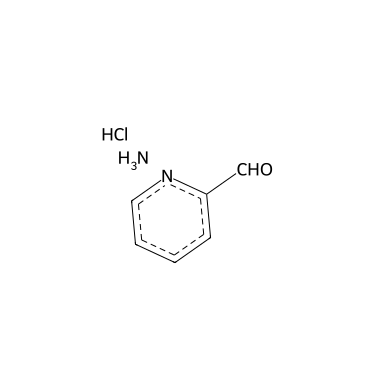 Cl.N.O=Cc1ccccn1